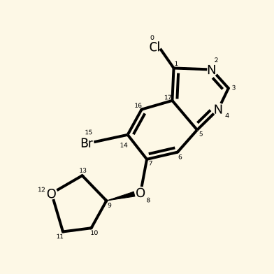 Clc1ncnc2cc(O[C@H]3CCOC3)c(Br)cc12